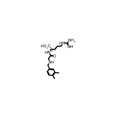 Cc1ccc(CNCC(=O)N[C@@H](CCCNC(=N)N)C(=O)O)cc1C